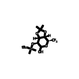 CC1(C)O[C@@H]2[C@H](O1)[C@H](C(F)(F)F)OC(O)[C@H]2O[Si](C)(C)C(C)(C)C